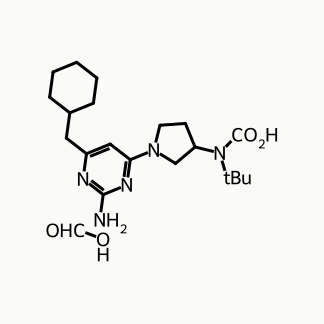 CC(C)(C)N(C(=O)O)C1CCN(c2cc(CC3CCCCC3)nc(N)n2)C1.O=CO